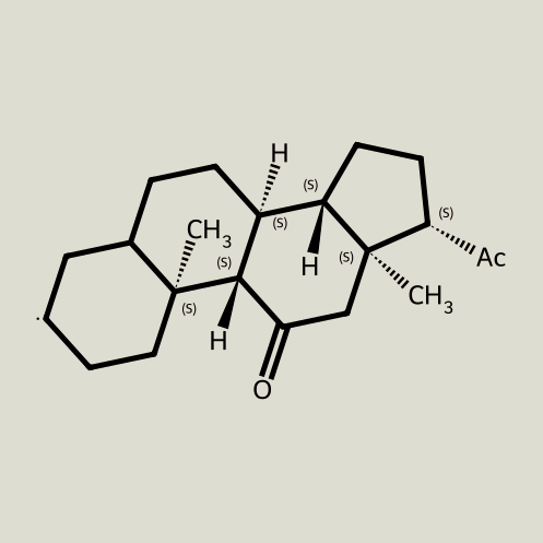 CC(=O)[C@H]1CC[C@H]2[C@@H]3CCC4C[CH]CC[C@]4(C)[C@H]3C(=O)C[C@]12C